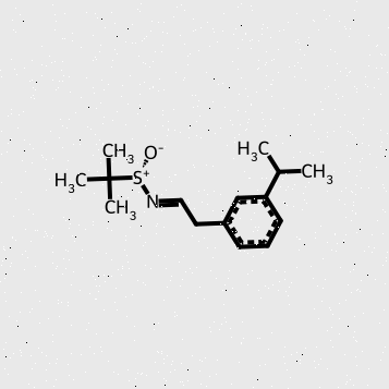 CC(C)c1cccc(C/C=N/[S@@+]([O-])C(C)(C)C)c1